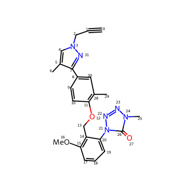 C#CCn1cc(C)c(-c2ccc(OCc3c(OC)cccc3-n3nnn(C)c3=O)c(C)c2)n1